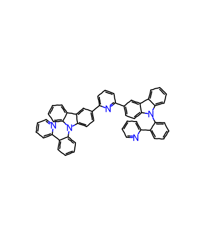 c1ccc(-c2ccccc2-n2c3ccccc3c3cc(-c4cccc(-c5ccc6c(c5)c5ccccc5n6-c5ccccc5-c5ccccn5)n4)ccc32)nc1